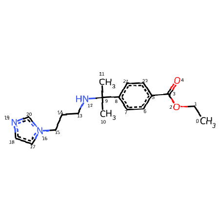 CCOC(=O)c1ccc(C(C)(C)NCCCn2ccnc2)cc1